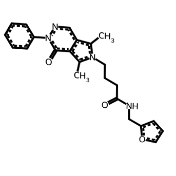 Cc1c2cnn(-c3ccccc3)c(=O)c2c(C)n1CCCC(=O)NCc1ccco1